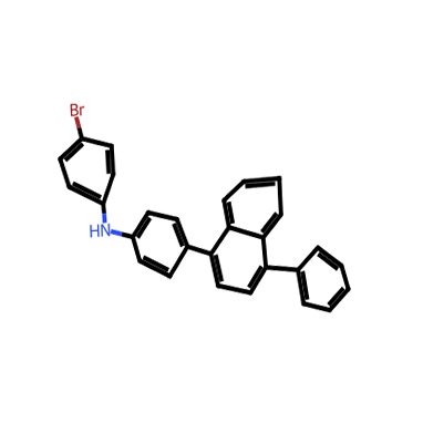 Brc1ccc(Nc2ccc(-c3ccc(-c4ccccc4)c4ccccc34)cc2)cc1